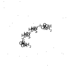 CC(C)(CCNC(=S)NCCCNC(=S)NCCC(C)(C)COP(N)(=O)O)COP(N)(=O)O